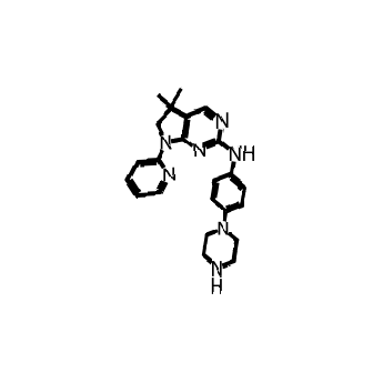 CC1(C)CN(c2ccccn2)c2nc(Nc3ccc(N4CCNCC4)cc3)ncc21